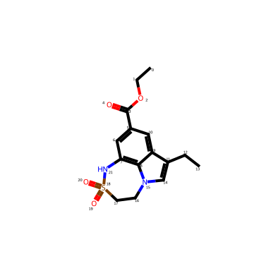 CCOC(=O)c1cc2c3c(c1)c(CC)cn3CCS(=O)(=O)N2